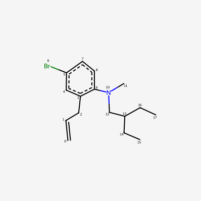 C=CCc1cc(Br)ccc1N(C)CC(CC)CC